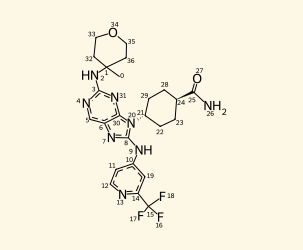 CC1(Nc2ncc3nc(Nc4ccnc(C(F)(F)F)c4)n([C@H]4CC[C@H](C(N)=O)CC4)c3n2)CCOCC1